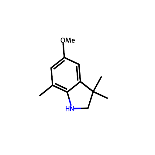 COc1cc(C)c2c(c1)C(C)(C)CN2